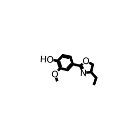 CCC1COC(c2ccc(O)c(OC)c2)=N1